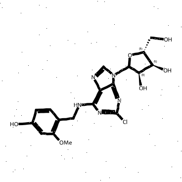 COc1cc(O)ccc1CNc1nc(Cl)nc2c1ncn2C1O[C@H](CO)[C@@H](O)[C@H]1O